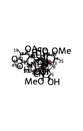 COc1cc2c(cc1O)CCN[C@]21CS[C@H]2c3c(OC(C)=O)c(C)c4c(c3[C@H](COC1=O)N1[C@@H]2[C@H]2c3c(cc(C)c(OC)c3O)C[C@@H]([C@@H]1C#N)N2C)OCO4